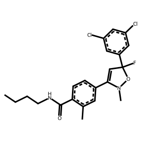 CCCCNC(=O)c1ccc(C2=CC(F)(c3cc(Cl)cc(Cl)c3)ON2C)cc1C